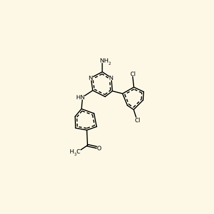 CC(=O)c1ccc(Nc2cc(-c3cc(Cl)ccc3Cl)nc(N)n2)cc1